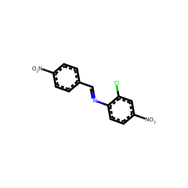 O=[N+]([O-])c1ccc(C=Nc2ccc([N+](=O)[O-])cc2Cl)cc1